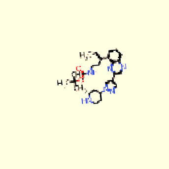 C/C=C(\CCNC(=O)OC(C)(C)C)c1cccc2ncc(-c3cnn(C4CCNCC4)c3)nc12